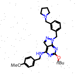 CCCCOc1nc(NCc2ccc(OC)cc2)c2cnn(Cc3cccc(CN4CCCC4)c3)c2n1